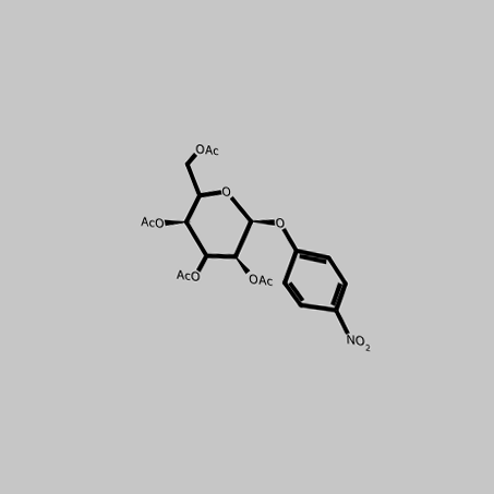 CC(=O)OCC1O[C@@H](Oc2ccc([N+](=O)[O-])cc2)[C@@H](OC(C)=O)C(OC(C)=O)[C@H]1OC(C)=O